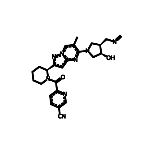 C=NC[C@@H]1CN(c2nc3cc([C@@H]4CCCCN4C(=O)c4ccc(C#N)cn4)nn3cc2C)C[C@@H]1O